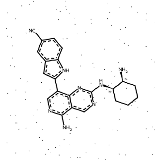 N#Cc1ccc2[nH]c(-c3cnc(N)c4cnc(N[C@@H]5CCCC[C@@H]5N)nc34)cc2c1